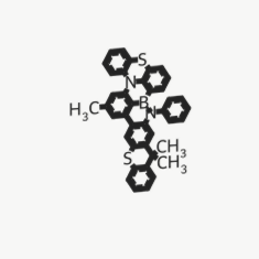 Cc1cc2c3c(c1)N1c4ccccc4Sc4cccc(c41)B3N(c1ccccc1)c1cc3c(cc1-2)Sc1ccccc1C3(C)C